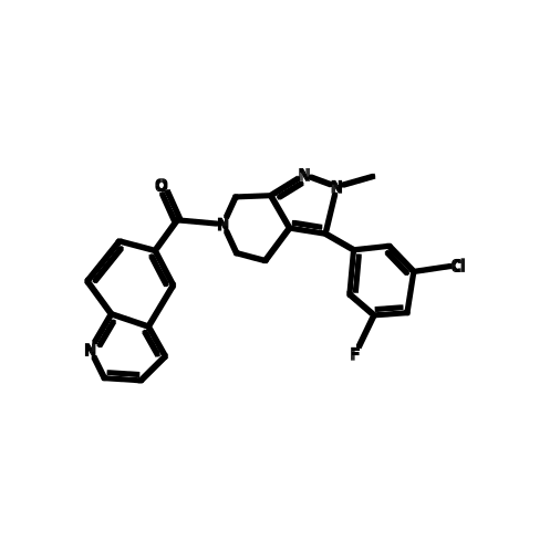 Cn1nc2c(c1-c1cc(F)cc(Cl)c1)CCN(C(=O)c1ccc3ncccc3c1)C2